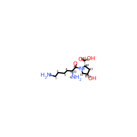 NCCCC[C@H](N)C(=O)N1C[C@H](O)C[C@H]1C(=O)O